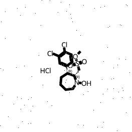 COS(=O)(=O)C[C@H]1[C@@H](c2ccc(Cl)c(Cl)c2)CCCCN1O.Cl